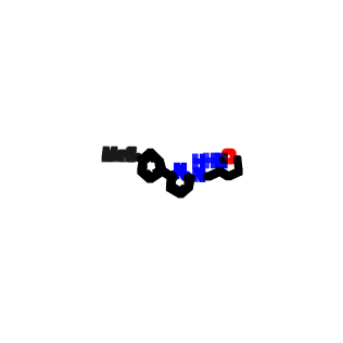 CSc1ccc(-c2cccc(NCC3CCCON3)n2)cc1